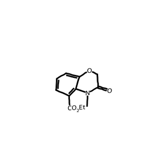 CCOC(=O)c1cccc2c1N(C)C(=O)CO2